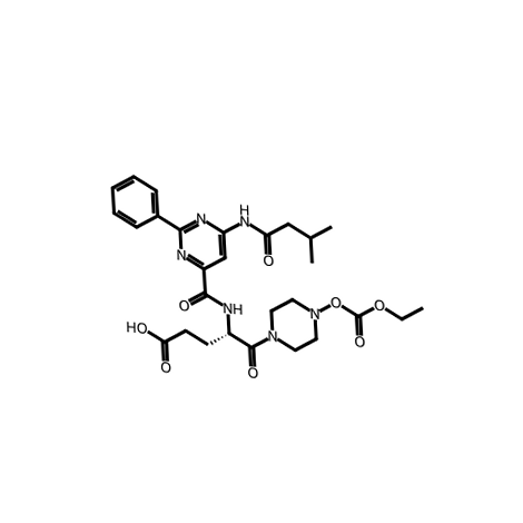 CCOC(=O)ON1CCN(C(=O)[C@H](CCC(=O)O)NC(=O)c2cc(NC(=O)CC(C)C)nc(-c3ccccc3)n2)CC1